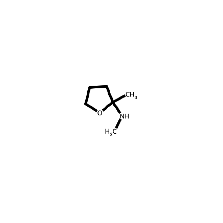 CNC1(C)CCCO1